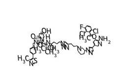 Cc1ncsc1-c1ccc(CNC(=O)[C@@H]2C[C@@H](O)CN2C(=O)[C@@H](NC(=O)CCCn2cc(CCCN3CCCC(n4cc(-c5cnc(N)c(O[C@H](C)c6c(Cl)ccc(F)c6Cl)c5)cn4)C3)nn2)C(C)(C)C)cc1